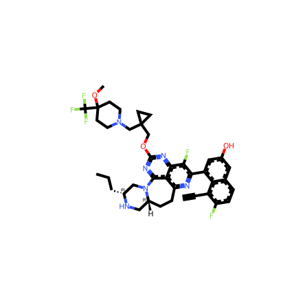 C#Cc1c(F)ccc2cc(O)cc(-c3nc4c5c(nc(OCC6(CN7CCC(OC)(C(F)(F)F)CC7)CC6)nc5c3F)N3C[C@@H](CCC)NC[C@H]3CC4)c12